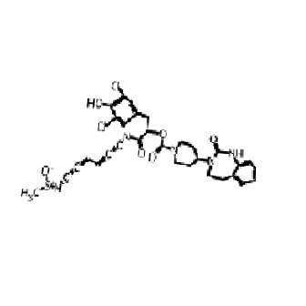 C[S+]([O-])N=C=C=CC=C=C=NC(=O)[C@@H](Cc1cc(Cl)c(O)c(Cl)c1)OC(=O)N1CCC(N2CCc3ccccc3NC2=O)CC1